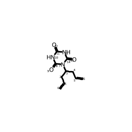 C=CCC(CC=C)n1c(=O)[nH]c(=O)[nH]c1=O